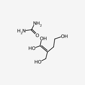 NC(N)=O.OCCC(CO)=C(O)O